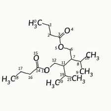 CCCC(=O)OCC(C(C)C)C(COC(=O)CCC)C(C)C